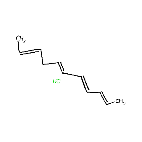 CC=CC=CC=CCC=CC.Cl